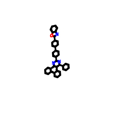 c1ccc(-c2nc(-c3ccc(-c4ccc(-c5nc6ccccc6o5)cc4)cc3)nc3c4ccccc4c4ccccc4c23)cc1